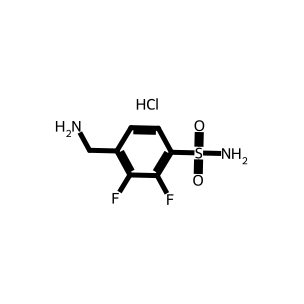 Cl.NCc1ccc(S(N)(=O)=O)c(F)c1F